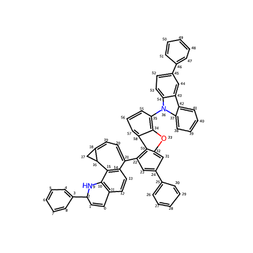 C1=CC(c2ccccc2)Nc2c1ccc1c2C2CC2=CC=C1c1cc(-c2ccccc2)cc2oc3c(-n4c5ccccc5c5cc(-c6ccccc6)ccc54)cccc3c12